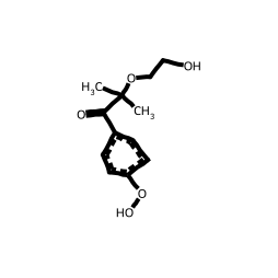 CC(C)(OCCO)C(=O)c1ccc(OO)cc1